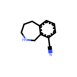 N#Cc1cccc2c1CNCCC2